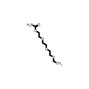 CCOCCOCCOCCOC(N)=O